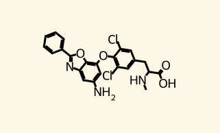 CNC(Cc1cc(Cl)c(Oc2cc(N)cc3nc(-c4ccccc4)oc23)c(Cl)c1)C(=O)O